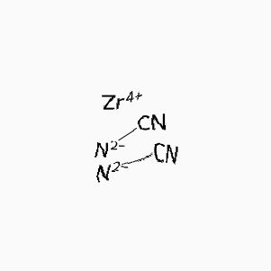 N#C[N-2].N#C[N-2].[Zr+4]